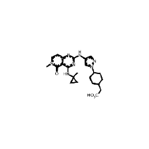 Cn1ccc2nc(Nc3cnn(C4CCC(CC(=O)O)CC4)c3)nc(NC3(C)CC3)c2c1=O